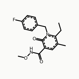 CCc1c(C)cc(C(=O)NOC)c(=O)n1Cc1ccc(F)cc1